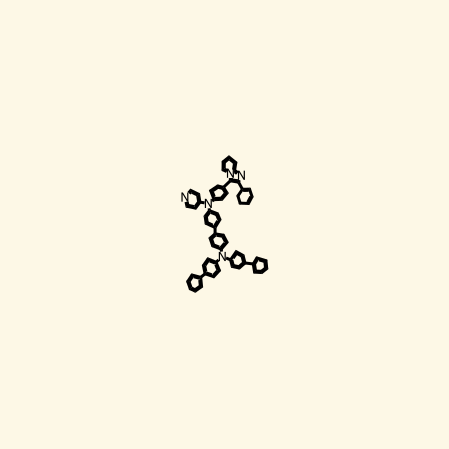 C1=CCCC(c2nc3ccccn3c2-c2ccc(N(c3ccncc3)c3ccc(-c4ccc(N(c5ccc(-c6ccccc6)cc5)c5ccc(-c6ccccc6)cc5)cc4)cc3)cc2)=C1